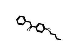 CCCCOc1ccc(C(=O)Cc2ccccc2)cc1